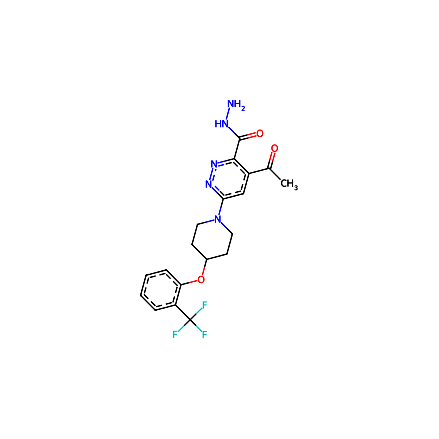 CC(=O)c1cc(N2CCC(Oc3ccccc3C(F)(F)F)CC2)nnc1C(=O)NN